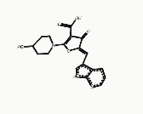 O=C(O)C1=C(N2CCC(O)CC2)OC(=Cc2c[nH]c3ncccc23)C1=O